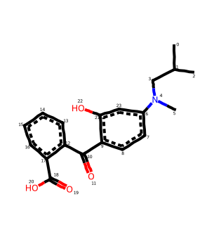 CC(C)CN(C)c1ccc(C(=O)c2ccccc2C(=O)O)c(O)c1